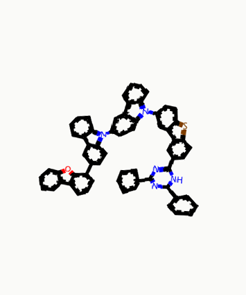 c1ccc(C2=NC(c3ccccc3)NC(c3ccc4sc5ccc(-n6c7ccccc7c7cc(-n8c9ccccc9c9cc(-c%10cccc%11c%10oc%10ccccc%10%11)ccc98)ccc76)cc5c4c3)=N2)cc1